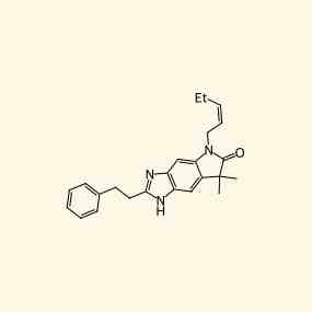 CC/C=C\CN1C(=O)C(C)(C)c2cc3[nH]c(CCc4ccccc4)nc3cc21